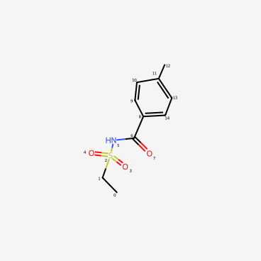 CCS(=O)(=O)NC(=O)c1ccc(C)cc1